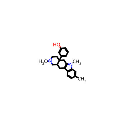 Cc1ccc2c3c(n(C)c2c1)CC1(c2cccc(O)c2)CCN(C)CC1C3